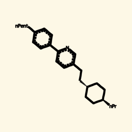 CCCCCc1ccc(-c2ccc(CC[C@H]3CC[C@H](CCC)CC3)cn2)cc1